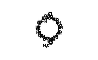 Cc1ccc(CC2NC(=O)CNC(=O)CNC(=O)CNC(=O)CNC(=O)CC(C(=O)N3CCCCC3)NC(=O)CNC(=O)CNC(=O)CNC(=O)CNC(=O)CNC2=O)cc1